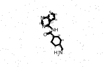 NCC1CCC(C(=O)Nc2ncnc3sccc23)CC1